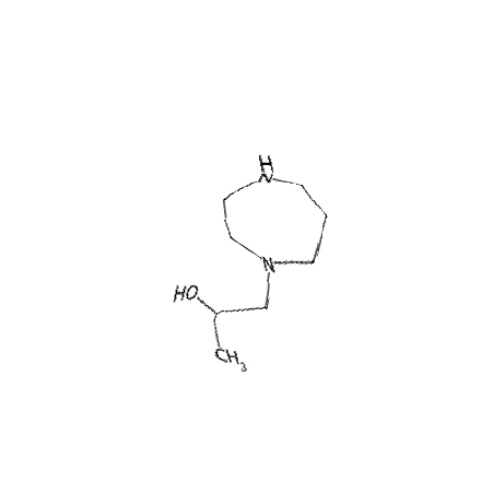 CC(O)CN1CCCNCC1